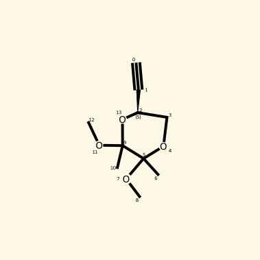 C#C[C@H]1COC(C)(OC)C(C)(OC)O1